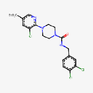 CCOC(=O)c1cnc(N2CCN(C(=O)NCc3ccc(Cl)c(Cl)c3)CC2)c(Cl)c1